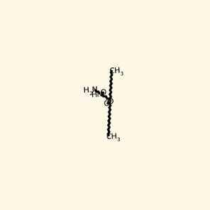 CCCCCCCCCCCCCCCC(=O)OC(CCCCCCCCCCCCC)CCCC(=O)NCCN